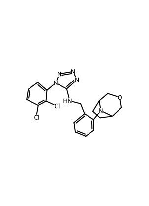 Clc1cccc(-n2nnnc2NCc2ccccc2N2C3CCC2COC3)c1Cl